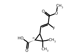 COC(=O)C(F)=CC1[C@@H](C(=O)O)C1(C)C